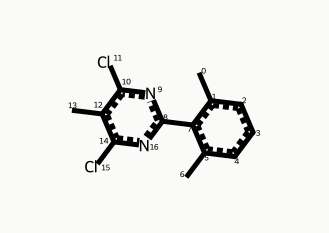 Cc1cccc(C)c1-c1nc(Cl)c(C)c(Cl)n1